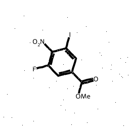 COC(=O)c1cc(F)c([N+](=O)[O-])c(I)c1